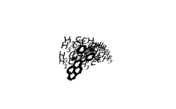 C[Si](C)(C)c1cc2c(c([Si](C)(C)C)c1)B(c1c([Si](C)(C)C)cc([Si](C)(C)C)cc1[Si](C)(C)C)c1cc3ccc4cccc5ccc(c1-2)c3c45